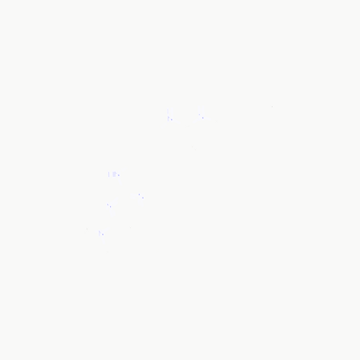 CCOC(=O)c1cccc(NC(=S)N[C@H]2CC[C@@H](Nc3nc4c(c(N(C)C)n3)CCCC4)CC2)c1